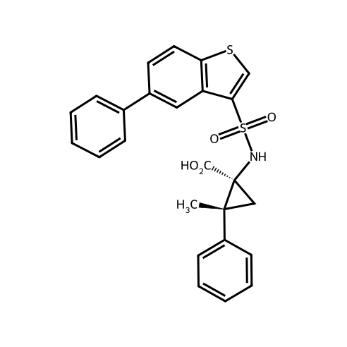 C[C@]1(c2ccccc2)C[C@@]1(NS(=O)(=O)c1csc2ccc(-c3ccccc3)cc12)C(=O)O